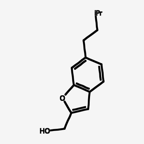 CC(C)CCc1ccc2cc(CO)oc2c1